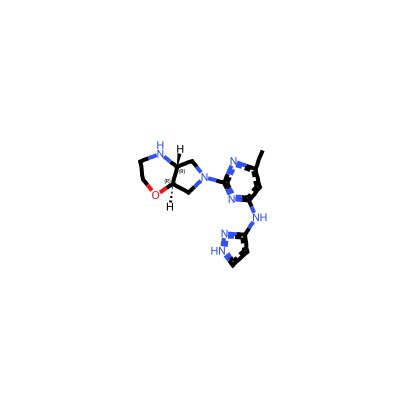 Cc1cc(Nc2cc[nH]n2)nc(N2C[C@H]3NCCO[C@@H]3C2)n1